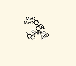 COc1ccc(C23CCC(NC(=O)Nc4cc(C)ccc4C)CC2N(C)CC3)cc1OC.O=C(O)C(F)(F)F